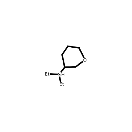 CC[SiH](CC)C1CCCOC1